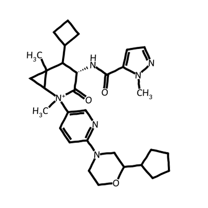 Cn1nccc1C(=O)N[C@@H]1C(=O)[N+](C)(c2ccc(N3CCOC(C4CCCC4)C3)nc2)C2CC2(C)C1C1CCC1